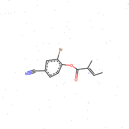 C/C=C(\C)C(=O)Oc1ccc(C#N)cc1Br